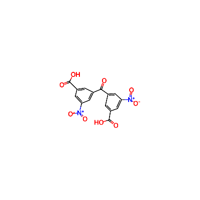 O=C(O)c1cc(C(=O)c2cc(C(=O)O)cc([N+](=O)[O-])c2)cc([N+](=O)[O-])c1